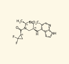 CCOC(=O)c1cnc2[nH]ccc2c1N[C@@H]1CC[C@H](C)N(C(=O)[C@H]2CC2(F)F)C1